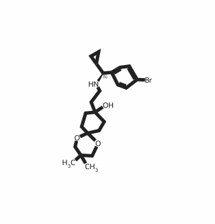 CC1(C)COC2(CCC(O)(CCN[C@H](c3ccc(Br)cc3)C3CC3)CC2)OC1